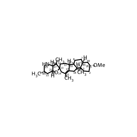 CO[C@@H]1CC[C@@]2(C)[C@H](CCC3[C@@H]4CCC5(CC(C)=C4C[C@@H]32)O[C@@H]2C[C@H](C)CN[C@H]2[C@H]5C)C1